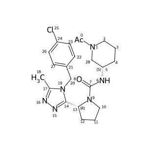 CC(=O)N1CCC[C@H](NC(=O)N2CCC[C@@H]2c2nnc(C)n2Cc2ccc(Cl)cc2)C1